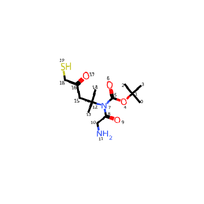 CC(C)(C)OC(=O)N(C(=O)CN)C(C)(C)CC(=O)CS